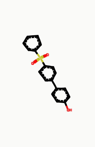 O=S(=O)(c1ccccc1)c1ccc(-c2ccc(O)cc2)cc1